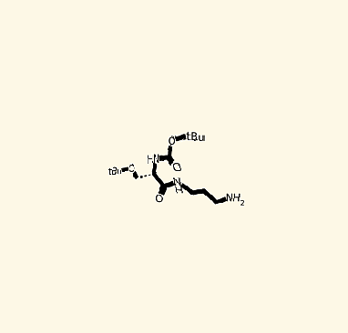 CC(C)(C)OC[C@H](NC(=O)OC(C)(C)C)C(=O)NCCCN